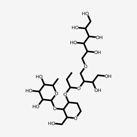 CCC(OC(COCC(O)C(O)C(O)C(O)CO)C(O)CO)OC1CCOC(CO)C1OC1OC(C)C(O)C(O)C1O